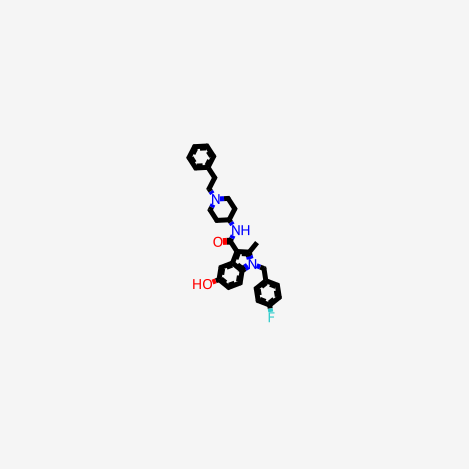 Cc1c(C(=O)NC2CCN(CCc3ccccc3)CC2)c2cc(O)ccc2n1Cc1ccc(F)cc1